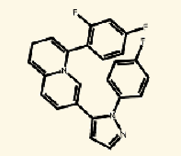 Fc1ccc(-n2nccc2C2=CN3C(=CCC=C3c3ccc(F)cc3F)C=C2)cc1